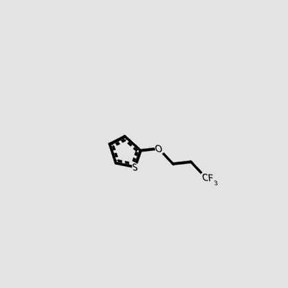 FC(F)(F)CCOc1cccs1